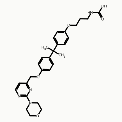 CC(C)(c1ccc(OCCCNC(=O)O)cc1)c1ccc(OCc2ccnc(N3CCOCC3)n2)cc1